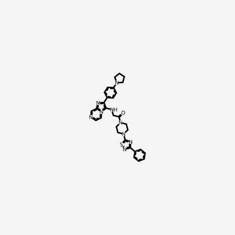 O=C(CNc1c(-c2ccc(N3CCCC3)cc2)nc2cnccn12)N1CCN(c2nc(-c3ccccc3)ns2)CC1